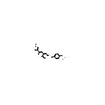 CN(C)Cc1ccc(C(=O)Nc2cc3cc(-c4cnn(C)c4)cnc3cn2)cc1